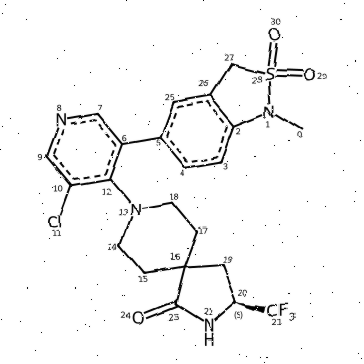 CN1c2ccc(-c3cncc(Cl)c3N3CCC4(CC3)C[C@@H](C(F)(F)F)NC4=O)cc2CS1(=O)=O